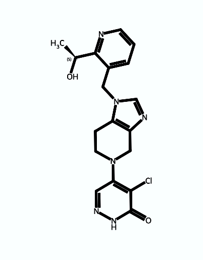 C[C@H](O)c1ncccc1Cn1cnc2c1CCN(c1cn[nH]c(=O)c1Cl)C2